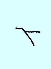 CCCCCCCC/C=C\CCCCCC([CH]CCCCCCCCCCCCCCCCCCC)CCCCCCCCCCCCCCCCCC